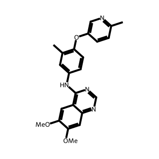 COc1cc2ncnc(Nc3ccc(Oc4ccc(C)nc4)c(C)c3)c2cc1OC